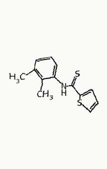 Cc1cccc(NC(=S)c2cccs2)c1C